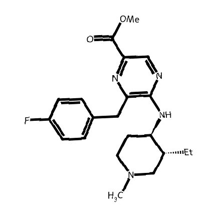 CC[C@@H]1CN(C)CC[C@H]1Nc1ncc(C(=O)OC)nc1Cc1ccc(F)cc1